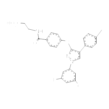 Cc1ccc(-c2cn(-c3cc(F)cc(Cl)c3)nc2Oc2ccc(C(=O)NCCC(=O)O)cc2)cc1